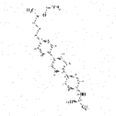 CCOC(C)CCCc1ccc(-c2cnc(-c3ccc(NC(C)=O)cc3)nn2)cc1